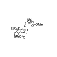 CCOC(=O)C1=C(COCc2nnn(CC(=O)OC)n2)NC(C)=C(C(=O)OC)C1c1ccccc1Cl